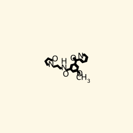 COc1cc(C(=O)NCCCN2CCCC2=O)cc(C(=O)c2ccccn2)c1